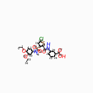 CCOc1ccc(N(C)S(=O)(=O)c2cc(Cl)sc2C(=O)Nc2cccc(C(=O)O)c2)cc1OCC